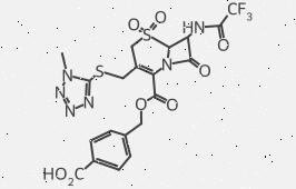 Cn1nnnc1SCC1=C(C(=O)OCc2ccc(C(=O)O)cc2)N2C(=O)C(NC(=O)C(F)(F)F)C2S(=O)(=O)C1